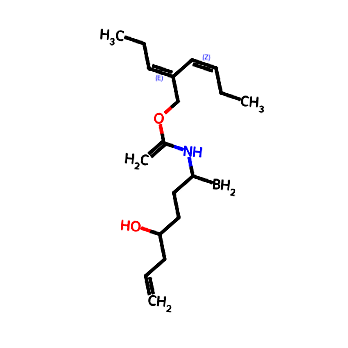 BC(CCC(O)CC=C)NC(=C)OCC(/C=C\CC)=C/CC